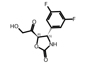 O=C1N[C@@H](c2cc(F)cc(F)c2)[C@H](C(=O)CO)O1